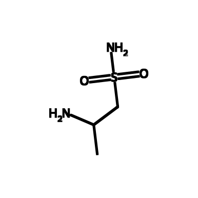 CC(N)CS(N)(=O)=O